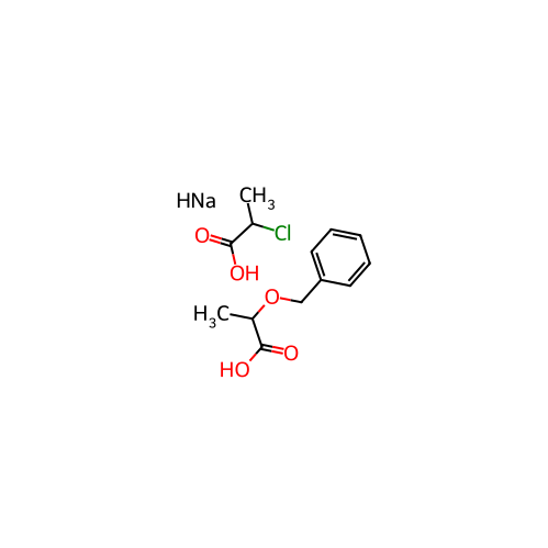 CC(Cl)C(=O)O.CC(OCc1ccccc1)C(=O)O.[NaH]